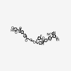 CCOc1cc(-c2ccc(N3CCC(CN4CCN(CCOCCOCCC(=O)N5CCN(c6ccc7c(c6)CN(C6CCC(=O)NC6=O)C7=O)CC5)CC4)(NC(=O)c4cc(F)ccc4F)CC3)nc2)c2c(C#N)cnn2c1